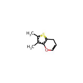 Cc1sc2c(c1C)OC=CC2